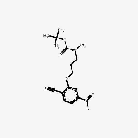 CN(CCCOc1cc([N+](=O)[O-])ccc1C#N)C(=O)OC(C)(C)C